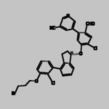 N#Cc1cncc(-c2cc(O[C@H]3CCc4c(-c5cccc(OCCCBr)c5Cl)cccc43)c(Cl)cc2C=O)c1